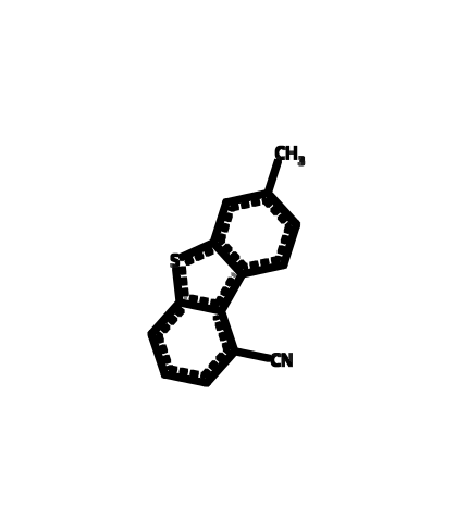 Cc1ccc2c(c1)sc1cccc(C#N)c12